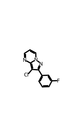 Fc1cccc(-c2nn3cccnc3c2Cl)c1